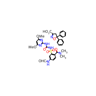 COc1cc(OC)nc(NC(=O)NS(=O)(=O)c2cc(NC=O)ccc2C(=O)N(C)C)n1.O=C(O)C1=NOC(c2ccccc2)(c2ccccc2)C1